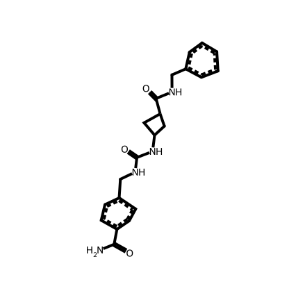 NC(=O)c1ccc(CNC(=O)NC2CC(C(=O)NCc3ccccc3)C2)cc1